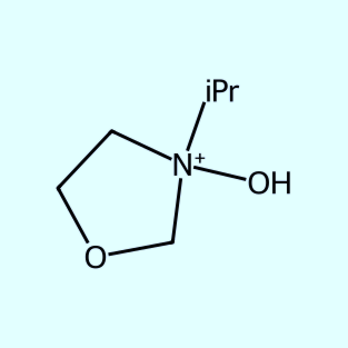 CC(C)[N+]1(O)CCOC1